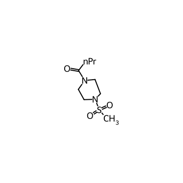 CCCC(=O)N1CCN(S(C)(=O)=O)CC1